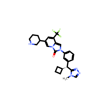 Cn1cnnc1[C@@H](c1cccc(-n2cc3c(C(F)(F)F)cc(C4CCCNC4)cn3c2=O)c1)C1CCC1